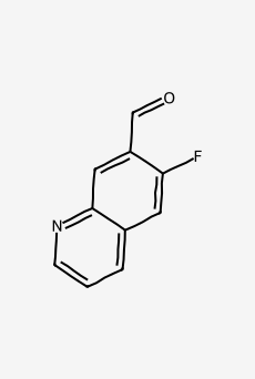 O=Cc1cc2ncccc2cc1F